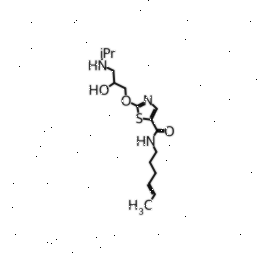 C/C=C/CCCNC(=O)c1cnc(OCC(O)CNC(C)C)s1